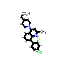 Cc1cc(N2CC=C(CC(=O)O)CC2)c2cccc(-c3ccc(Cl)cc3Cl)c2n1